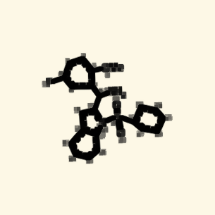 COc1ccc(F)cc1C(N)c1cc2ccccc2n1S(=O)(=O)c1ccccc1